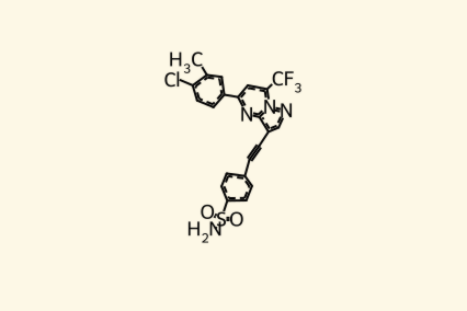 Cc1cc(-c2cc(C(F)(F)F)n3ncc(C#Cc4ccc(S(N)(=O)=O)cc4)c3n2)ccc1Cl